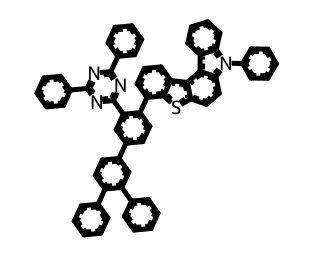 c1ccc(-c2nc(-c3ccccc3)nc(-c3cc(-c4ccc(-c5ccccc5)c(-c5ccccc5)c4)ccc3-c3cccc4c3sc3ccc5c(c6ccccc6n5-c5ccccc5)c34)n2)cc1